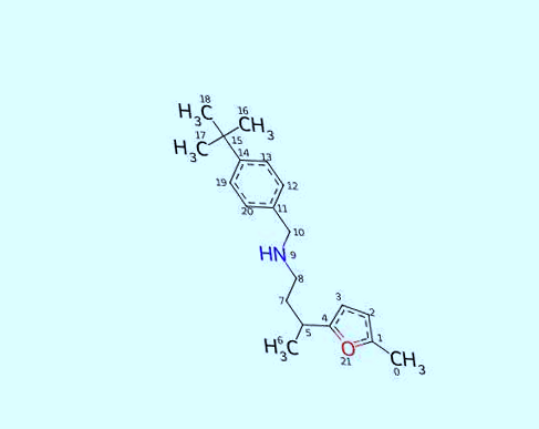 Cc1ccc(C(C)CCNCc2ccc(C(C)(C)C)cc2)o1